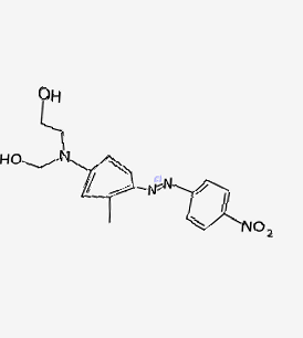 Cc1cc(N(CO)CCO)ccc1/N=N/c1ccc([N+](=O)[O-])cc1